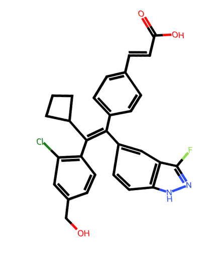 O=C(O)C=Cc1ccc(C(=C(c2ccc(CO)cc2Cl)C2CCC2)c2ccc3[nH]nc(F)c3c2)cc1